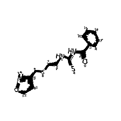 O=C(NC(=S)NCCSCc1ccon1)c1ccccc1